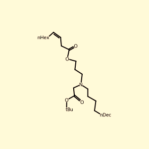 CCCCCC/C=C\CC(=O)OCCCN(CCCCCCCCCCCCCC)CC(=O)OC(C)(C)C